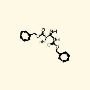 CCCN(C(=N)NC(=O)OCc1ccccc1)C(=O)OCc1ccccc1